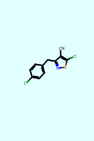 N#Cc1c(Cc2ccc(Cl)cc2)nsc1Cl